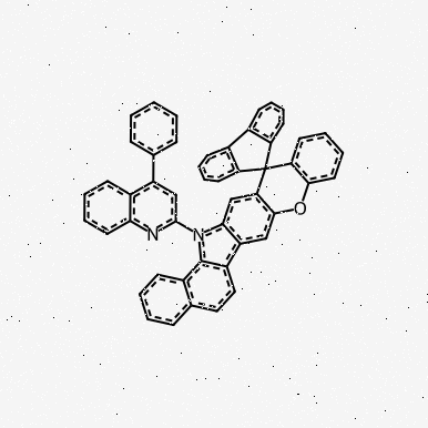 c1ccc(-c2cc(-n3c4cc5c(cc4c4ccc6ccccc6c43)Oc3ccccc3C53c4ccccc4-c4ccccc43)nc3ccccc23)cc1